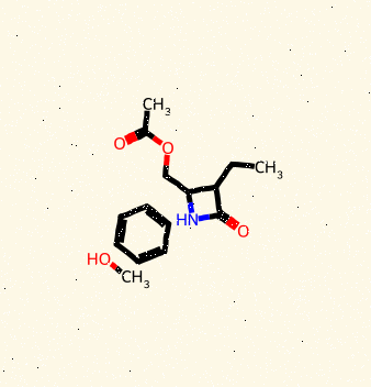 CCC1C(=O)NC1COC(C)=O.CO.c1ccccc1